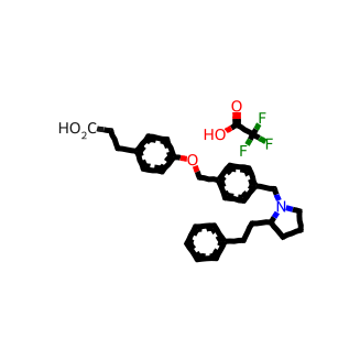 O=C(O)C(F)(F)F.O=C(O)CCc1ccc(OCc2ccc(CN3CCCC3CCc3ccccc3)cc2)cc1